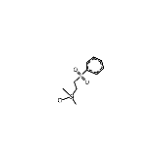 C[Si](C)(Cl)CCS(=O)(=O)c1ccccc1